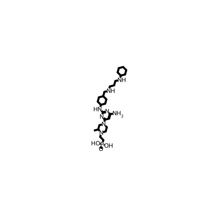 CC1CN(c2cc(N)nc(NC3CCC(CNCCCNC4CCCCC4)CC3)n2)CCN1CCP(=O)(O)O